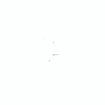 CCC(C)(C)C(=O)OC(C)(OC)C(C)(C)C